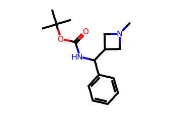 CN1CC(C(NC(=O)OC(C)(C)C)c2ccccc2)C1